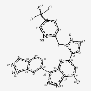 FC(F)(F)c1ccc(Cn2nccc2-c2cc(Cl)c3nnn(-c4ccc5cn[nH]c5c4)c3c2)nc1